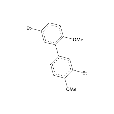 CCc1ccc(OC)c(-c2ccc(OC)c(CC)c2)c1